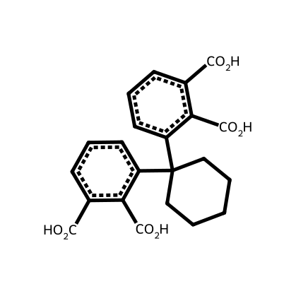 O=C(O)c1cccc(C2(c3cccc(C(=O)O)c3C(=O)O)CCCCC2)c1C(=O)O